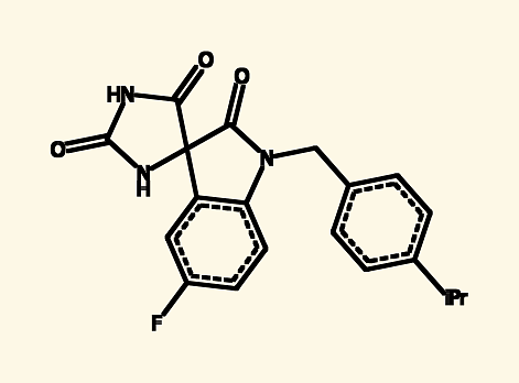 CC(C)c1ccc(CN2C(=O)C3(NC(=O)NC3=O)c3cc(F)ccc32)cc1